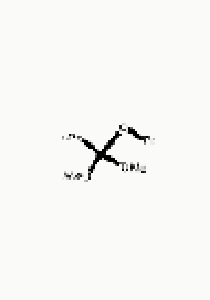 CCCC(OC)(OC)OC(C)C